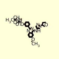 CCOc1ccc2nc(-c3cccc(OCC(=O)NC(C)(C)C)c3)nc(Nc3cnn(C4CCOC4)c3)c2c1